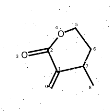 C=C1C(=O)OCCC1C